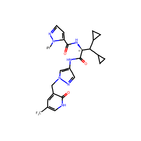 CC(C)n1nccc1C(=O)N[C@H](C(=O)Nc1cnn(Cc2cc(C(F)(F)F)c[nH]c2=O)c1)C(C1CC1)C1CC1